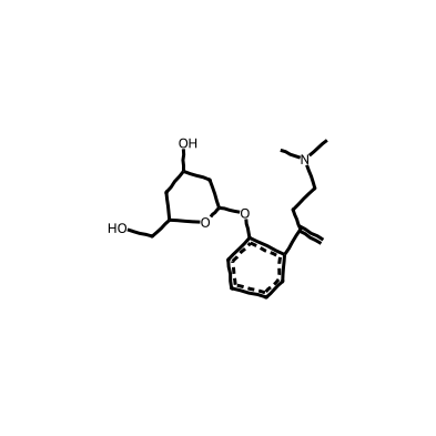 C=C(CCN(C)C)c1ccccc1OC1CC(O)CC(CO)O1